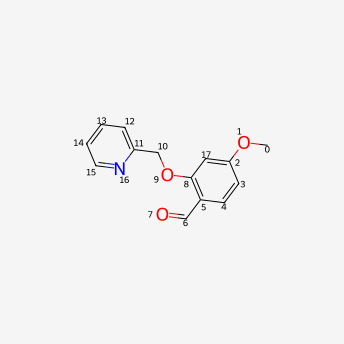 COc1ccc(C=O)c(OCc2ccccn2)c1